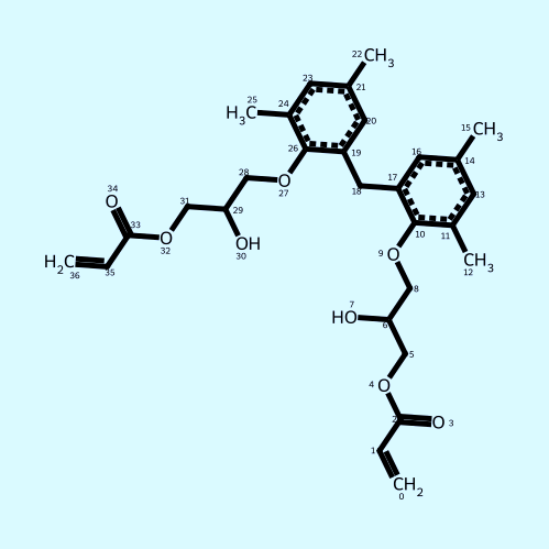 C=CC(=O)OCC(O)COc1c(C)cc(C)cc1Cc1cc(C)cc(C)c1OCC(O)COC(=O)C=C